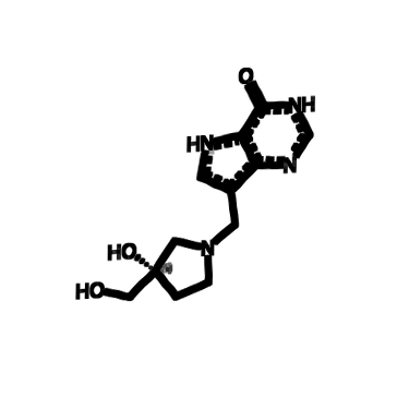 O=c1[nH]cnc2c(CN3CC[C@@](O)(CO)C3)c[nH]c12